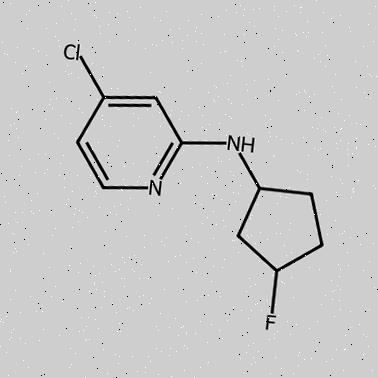 FC1CCC(Nc2cc(Cl)ccn2)C1